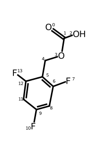 O=C(O)OCc1c(F)cc(F)cc1F